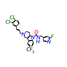 O=C(NCc1ccnc(F)c1)n1c2c(c3cc(C(F)(F)F)ccc31)CN(CC=Cc1ccc(Cl)c(Cl)c1)CC2